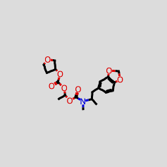 CC(OC(=O)OC1CCOC1)OC(=O)N(C)C(C)Cc1ccc2c(c1)OCO2